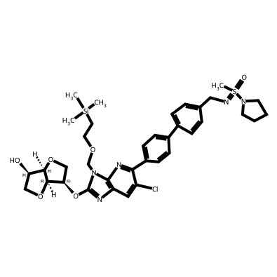 C[Si](C)(C)CCOCn1c(O[C@@H]2CO[C@H]3[C@@H]2OC[C@H]3O)nc2cc(Cl)c(-c3ccc(-c4ccc(CN=S(C)(=O)N5CCCC5)cc4)cc3)nc21